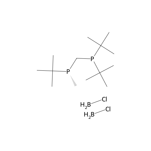 BCl.BCl.C[P@@](CP(C(C)(C)C)C(C)(C)C)C(C)(C)C